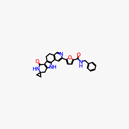 O=C(NCc1ccccc1)c1ccc(-c2cc3c(cn2)CCc2c-3[nH]c3c2C(=O)NC2(CC2)C3)o1